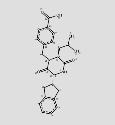 CC(C)C[C@H]1C(=O)N[C@H](C2Cc3ccccc3C2)C(=O)N1Cc1ccc(C(=O)O)cc1